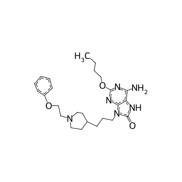 CCCCOc1nc(N)c2[nH]c(=O)n(CCCC3CCN(CCOc4ccccc4)CC3)c2n1